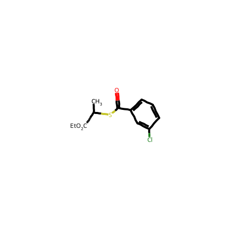 CCOC(=O)C(C)SC(=O)c1cccc(Cl)c1